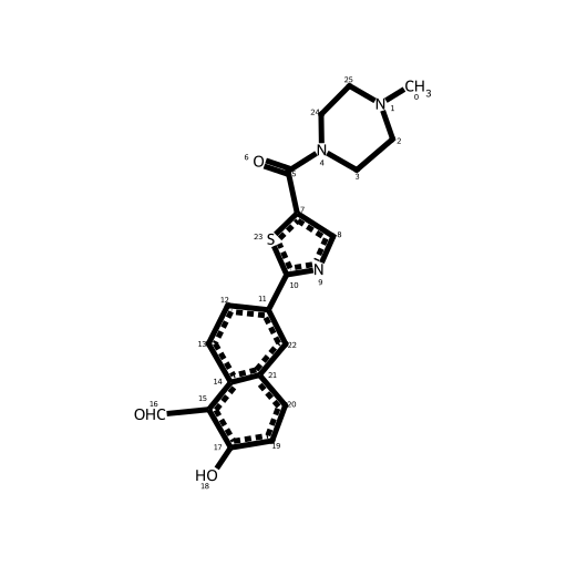 CN1CCN(C(=O)c2cnc(-c3ccc4c(C=O)c(O)ccc4c3)s2)CC1